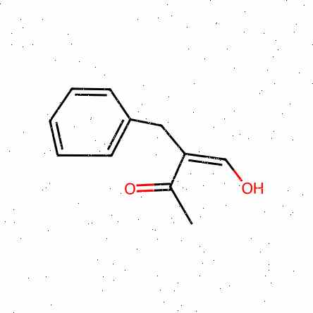 CC(=O)C(=CO)Cc1ccccc1